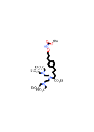 CCOC(=O)CN(CCN(CCN(CC(=O)OCC)CC(=O)OCC)C(CCCc1ccc(CCCONC(=O)OC(C)(C)C)cc1)C(=O)OCC)CC(=O)OCC